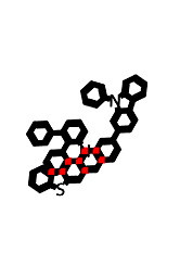 c1ccc(-c2ccccc2-c2c(-c3ccccc3)cccc2N(c2cccc(-c3ccc4c5ccccc5n(-c5ccccc5)c4c3)c2)c2ccc3sc4ccccc4c3c2)cc1